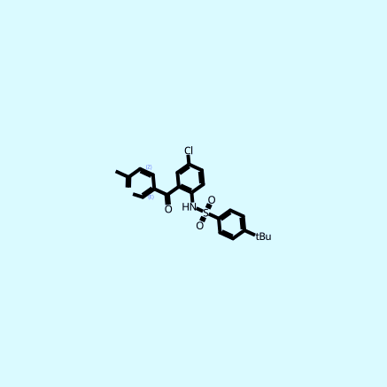 C=C(C)/C=C\C(=C/C)C(=O)c1cc(Cl)ccc1NS(=O)(=O)c1ccc(C(C)(C)C)cc1